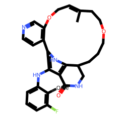 COc1c(F)cccc1Nc1c2[nH]c3c1C(=O)NCC3CCCOCC/C(C)=C/COc1cnccc1-2